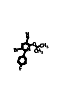 CC(C)Oc1nc(-c2ccc(F)cc2)c(Br)cc1C#N